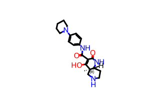 C[C@@]12CNCC[C@H]1NC(=O)C(C(=O)Nc1ccc(N3CCCCC3)cc1)=C2O